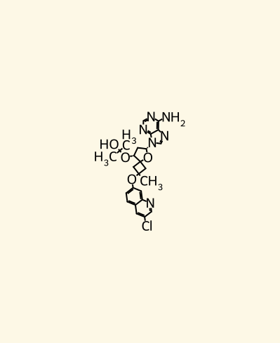 CC(C)(O)O[C@H]1C[C@H](n2cnc3c(N)ncnc32)OC12CC(C)(Oc1ccc3cc(Cl)cnc3c1)C2